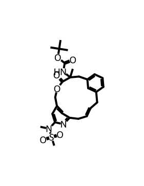 CN(c1cc2cc(n1)C/C=C/Cc1cccc(c1)CC(C)(NC(=O)OC(C)(C)C)C(=O)OC2)S(C)(=O)=O